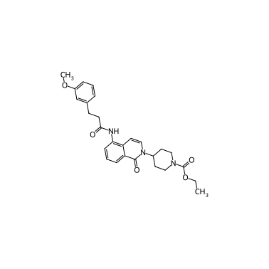 CCOC(=O)N1CCC(n2ccc3c(NC(=O)CCc4cccc(OC)c4)cccc3c2=O)CC1